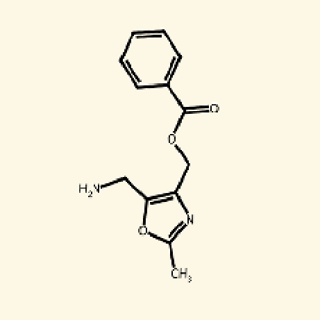 Cc1nc(COC(=O)c2ccccc2)c(CN)o1